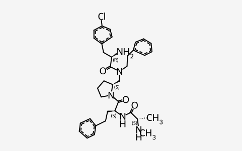 CN[C@@H](C)C(=O)N[C@@H](CCc1ccccc1)C(=O)N1CCC[C@H]1CN(CCc1ccccc1)C(=O)[C@H](N)Cc1ccc(Cl)cc1